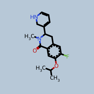 CC(C)Oc1cc2c(cc1F)CC(C1=CC=CNC1)N(C)C2=O